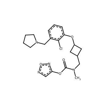 CN(CC1CC(Oc2cccc(CN3CCCC3)c2Cl)C1)C(=O)Oc1cnon1